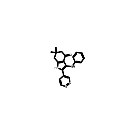 CC1(C)CC(=O)c2c([nH]c(-c3ccnnc3)c2Nc2ccccc2)C1